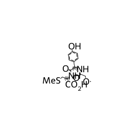 CSC[C@H](NC(=O)[C@H](NC(=O)C[O])c1ccc(O)cc1)C(=O)O